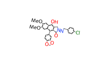 COc1cc2c(O)c3c(c(-c4ccc5c(c4)OCO5)c2cc1OC)C(=O)N(/N=C/c1ccc(Cl)cc1)C3